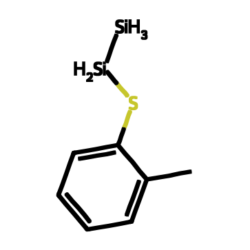 Cc1ccccc1S[SiH2][SiH3]